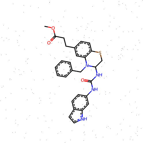 COC(=O)CCc1ccc2c(c1)N(Cc1ccccc1)C(NC(=O)Nc1ccc3cc[nH]c3c1)CS2